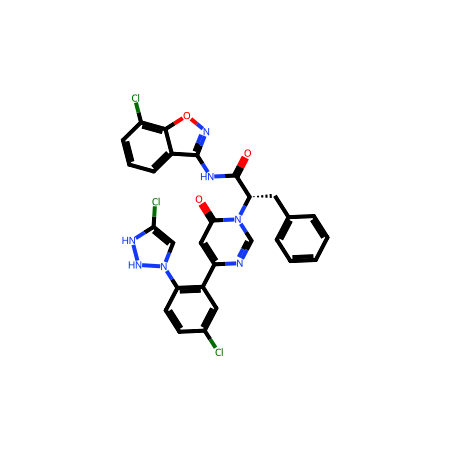 O=C(Nc1noc2c(Cl)cccc12)[C@H](Cc1ccccc1)n1cnc(-c2cc(Cl)ccc2N2C=C(Cl)NN2)cc1=O